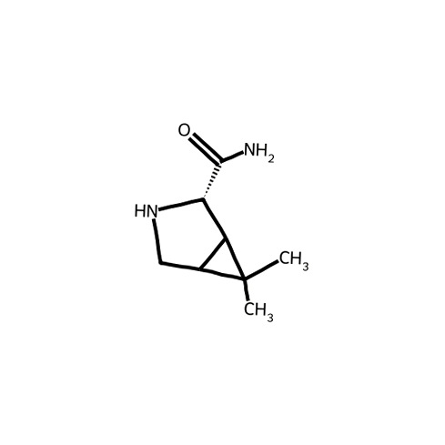 CC1(C)C2CN[C@H](C(N)=O)C21